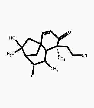 CC1C2C3(C=CC(=O)[C@@]2(C)CCC#N)CC([C@@H]1Cl)C(C)(O)C3